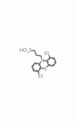 CCc1cccc2c1Sc1cccc(CC)c1N2CCCS(=O)(=O)O